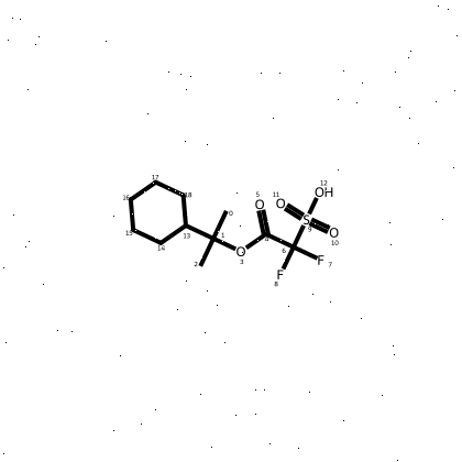 CC(C)(OC(=O)C(F)(F)S(=O)(=O)O)C1CCCCC1